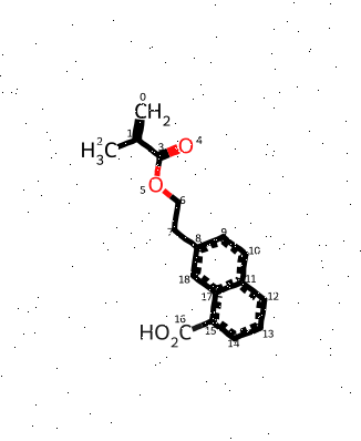 C=C(C)C(=O)OCCc1ccc2cccc(C(=O)O)c2c1